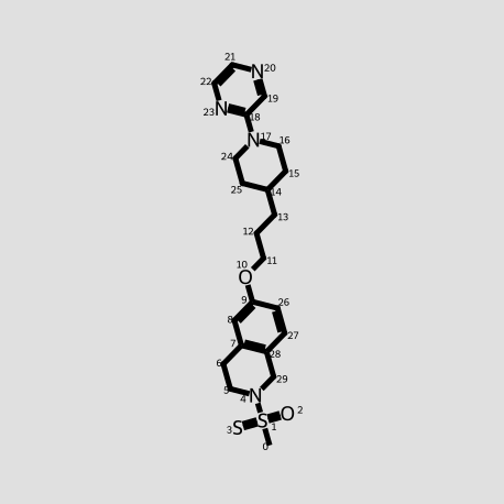 CS(=O)(=S)N1CCc2cc(OCCCC3CCN(c4cnccn4)CC3)ccc2C1